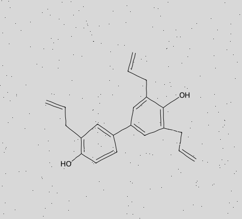 C=CCc1cc(-c2cc(CC=C)c(O)c(CC=C)c2)ccc1O